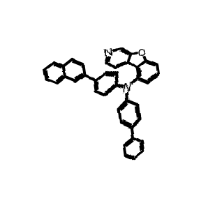 c1ccc(-c2ccc(N(c3ccc(-c4ccc5ccccc5c4)cc3)c3cccc4oc5cnccc5c34)cc2)cc1